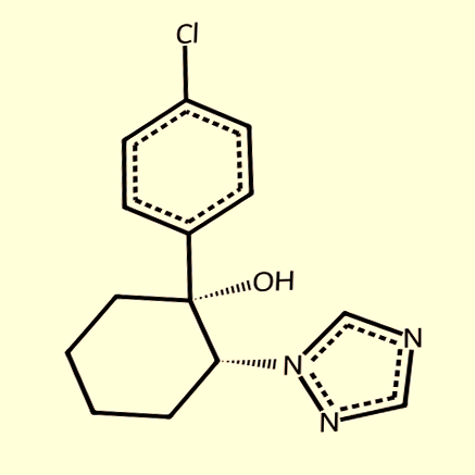 O[C@@]1(c2ccc(Cl)cc2)CCCC[C@H]1n1cncn1